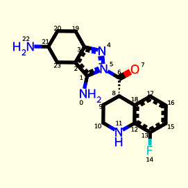 Nc1c2c(nn1C(=O)[C@H]1CCNc3c(F)cccc31)CCC(N)C2